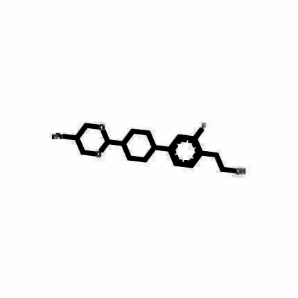 CCCC1COC(C2CCC(c3ccc(CCO)c(F)c3)CC2)OC1